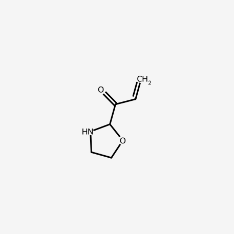 C=CC(=O)C1NCCO1